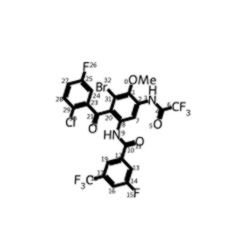 COc1c(NC(=O)C(F)(F)F)cc(NC(=O)c2cc(F)cc(C(F)(F)F)c2)c(C(=O)c2cc(F)ccc2Cl)c1Br